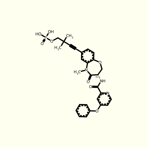 CN1C(=O)[C@@H](NC(=O)c2cc(Oc3ccccc3)ccn2)COc2ccc(C#CC(C)(C)COP(=O)(O)O)cc21